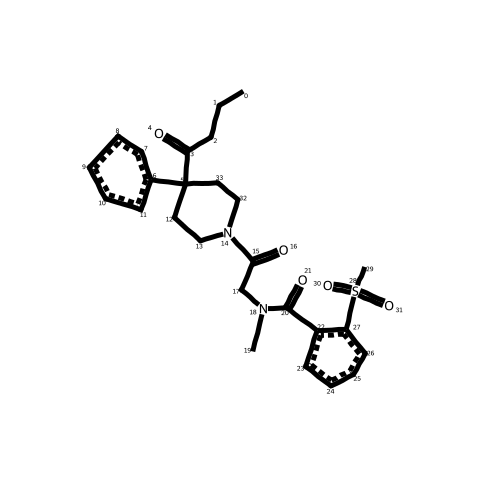 CCCC(=O)C1(c2ccccc2)CCN(C(=O)CN(C)C(=O)c2ccccc2S(C)(=O)=O)CC1